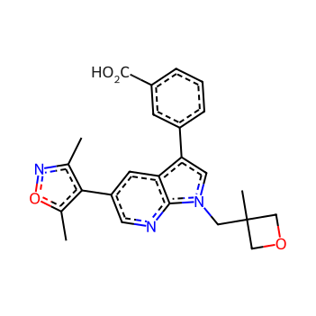 Cc1noc(C)c1-c1cnc2c(c1)c(-c1cccc(C(=O)O)c1)cn2CC1(C)COC1